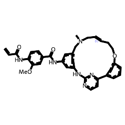 C=CC(=O)Nc1ccc(C(=O)Nc2cc3cc(c2)Nc2nccc(n2)-c2cccc(c2)OCC/C=C/CN(C)C3)cc1OC